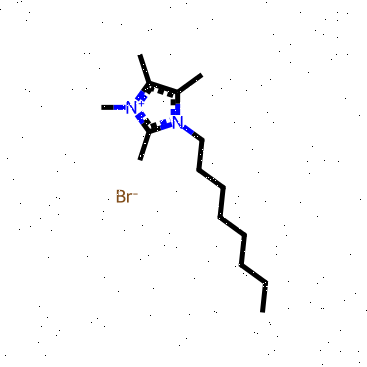 CCCCCCCCn1c(C)c(C)[n+](C)c1C.[Br-]